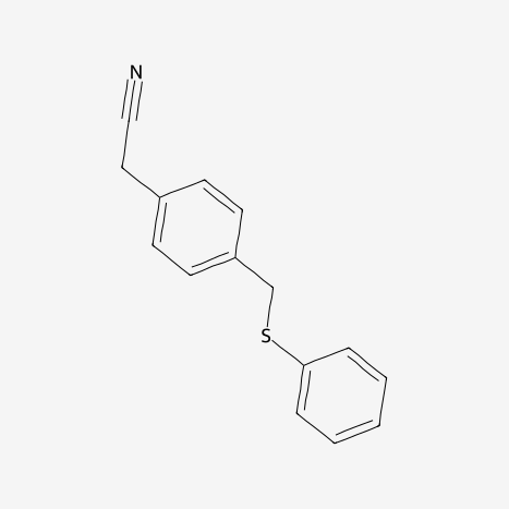 N#CCc1ccc(CSc2ccccc2)cc1